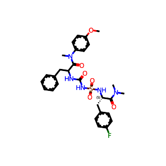 COc1ccc(N(C)C(=O)C(Cc2ccccc2)NC(=O)NS(=O)(=O)N[C@@H](Cc2ccc(F)cc2)C(=O)N(C)C)cc1